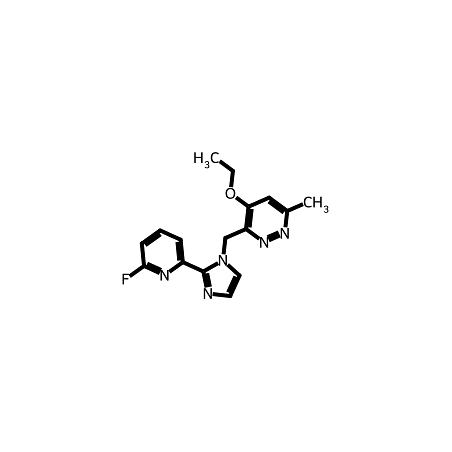 CCOc1cc(C)nnc1Cn1ccnc1-c1cccc(F)n1